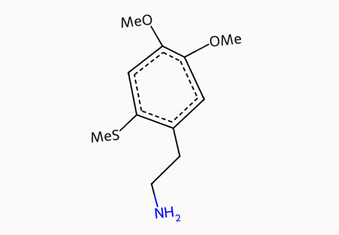 COc1cc(CCN)c(SC)cc1OC